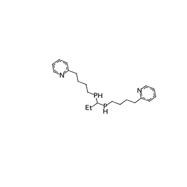 CCC(PCCCCc1ccccn1)PCCCCc1ccccn1